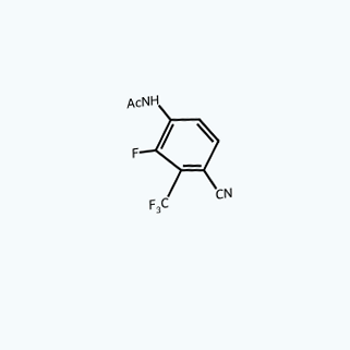 CC(=O)Nc1ccc(C#N)c(C(F)(F)F)c1F